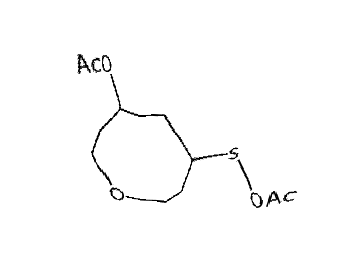 CC(=O)OSC1COCC(OC(C)=O)C1